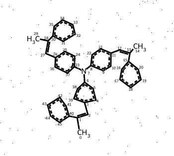 CC(=Cc1ccc(N(c2ccc(C=C(C)c3ccccc3)cc2)c2ccc(C=C(C)c3ccccc3)cc2)cc1)c1ccccc1